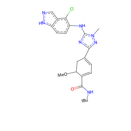 COC1CC(c2nc(Nc3ccc4[nH]ncc4c3Cl)n(C)n2)=CC=C1C(=O)NC(C)(C)C